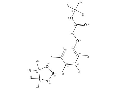 Cc1cc(OCC(=O)OC(C)(C)C)c(C)c(C)c1CB1OC(C)(C)C(C)(C)O1